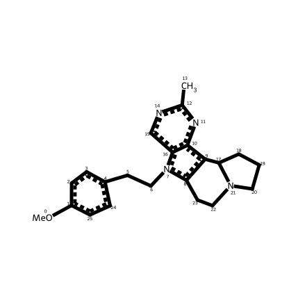 COc1ccc(CCn2c3c(c4nc(C)ncc42)C2CCCN2CC3)cc1